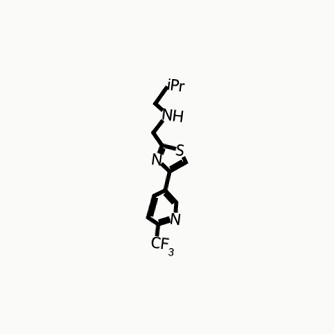 CC(C)CNCc1nc(-c2ccc(C(F)(F)F)nc2)cs1